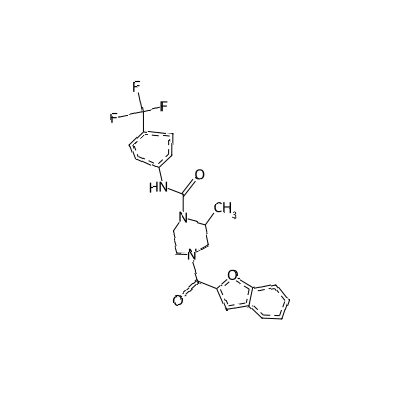 CC1CN(C(=O)c2cc3ccccc3o2)CCN1C(=O)Nc1ccc(C(F)(F)F)cc1